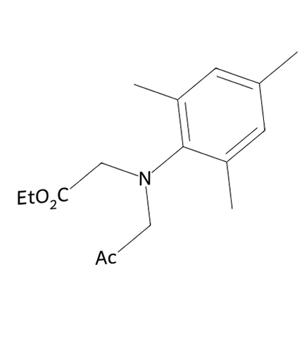 CCOC(=O)CN(CC(C)=O)c1c(C)cc(C)cc1C